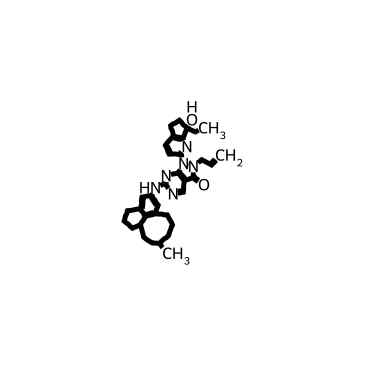 C=CCn1c(=O)c2cnc(Nc3cc4c5c(c3)CCCC5CCC(C)CCC4)nc2n1-c1ccc2c(n1)C(O)(CC)CC2